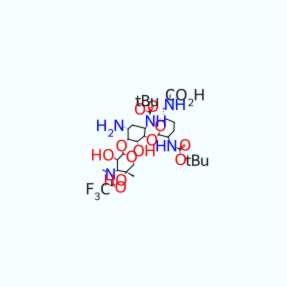 CN(C(=O)C(F)(F)F)[C@@H]1[C@@H](O)[C@@H](O[C@@H]2[C@@H](O)[C@H](O[C@H]3O[C@H](CNC(=O)O)CC[C@H]3NC(=O)OC(C)(C)C)[C@@H](NC(=O)OC(C)(C)C)C[C@H]2N)OC[C@]1(C)O